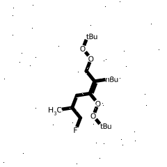 CCCC/C(COOC(C)(C)C)=C(/CC(C)CF)OOC(C)(C)C